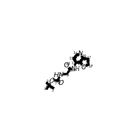 CC(C)(C)OC(=O)NCC(=O)Nc1ccnc2ccoc12